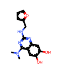 CN(C)c1nc(NCc2ccco2)nc2cc(O)c(O)cc12